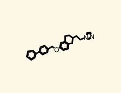 c1ccc(-c2ccc(COc3ccc4c(c3)CCC(CCn3ccnc3)C4)cc2)cc1